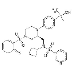 CC(O)(c1ccc(N2CCN(S(=O)(=O)C3=CC=CCC3=S)C[C@@H]2CN(C2CCC2)S(=O)(=O)c2cccnc2)cc1)C(F)(F)F